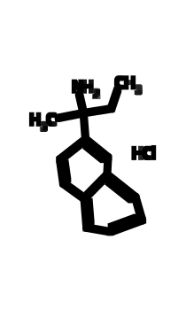 CCC(C)(N)c1ccc2ccccc2c1.Cl